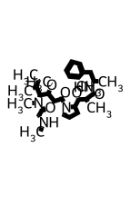 CCC(C)C(C(CC(=O)N1CCCC1C(OC)C(C)C(=O)NC(C)Cc1ccccc1)OC)N(C)C(=O)CNC